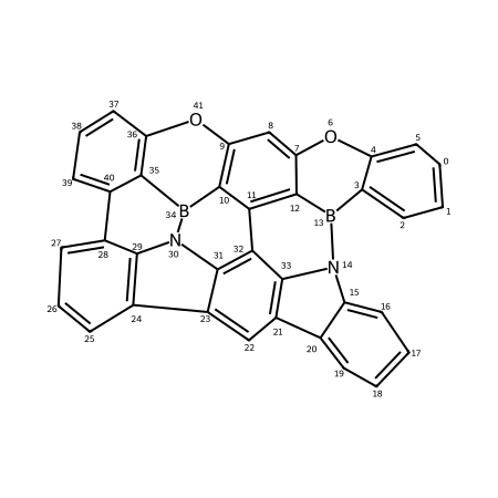 c1ccc2c(c1)Oc1cc3c4c5c1B2n1c2ccccc2c2cc6c7cccc8c7n(c6c-5c21)B4c1c(cccc1-8)O3